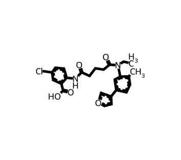 CCN(C(=O)CCCC(=O)Nc1ccc(Cl)cc1C(=O)O)c1cc(-c2ccoc2)ccc1C